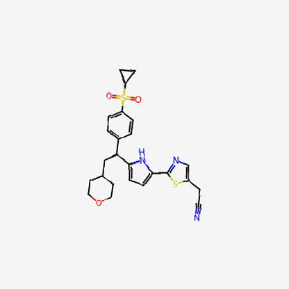 N#CCc1cnc(-c2ccc(C(CC3CCOCC3)c3ccc(S(=O)(=O)C4CC4)cc3)[nH]2)s1